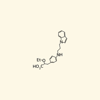 CCOC(Cc1ccc(NCCCn2ccc3ccccc32)cc1)C(=O)O